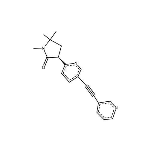 CN1C(=O)[C@H](c2ccc(C#Cc3cccnc3)cn2)CC1(C)C